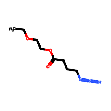 CCOCCOC(=O)CCCN=[N+]=[N-]